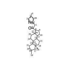 Cc1cnn(CC(=O)C2CCC3C4CCC56CC5C(C)CCC6C4CCC23C)c1